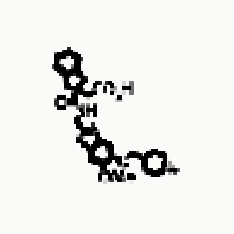 COc1cc2sc(CNC(=O)C3(CC(=O)O)Cc4ccccc4C3)nc2cc1OCC1CCN(C)CC1